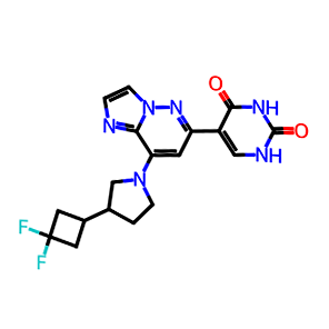 O=c1[nH]cc(-c2cc(N3CCC(C4CC(F)(F)C4)C3)c3nccn3n2)c(=O)[nH]1